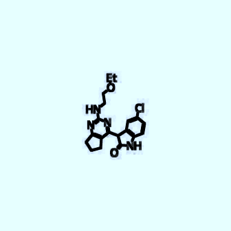 CCOCCNc1nc2c(c(C3C(=O)Nc4ccc(Cl)cc43)n1)CCC2